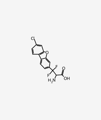 NC(C(=O)O)C(F)(F)c1ccc2c(c1)oc1cc(Cl)ccc12